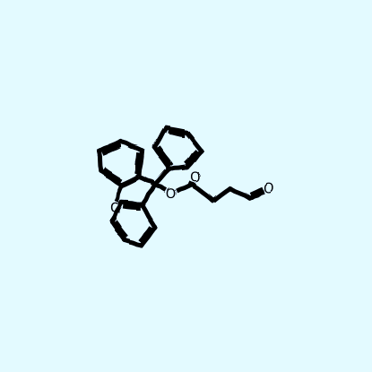 O=CCCC(=O)OC(c1ccccc1)(c1ccccc1)c1ccccc1Cl